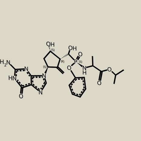 C=C1[C@@H](C(O)[P@@](=O)(NC(C)C(=O)OC(C)C)Oc2ccccc2)[C@@H](O)C[C@@H]1n1cnc2c(=O)[nH]c(N)nc21